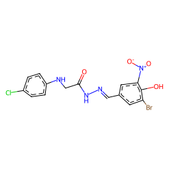 O=C(CNc1ccc(Cl)cc1)NN=Cc1cc(Br)c(O)c([N+](=O)[O-])c1